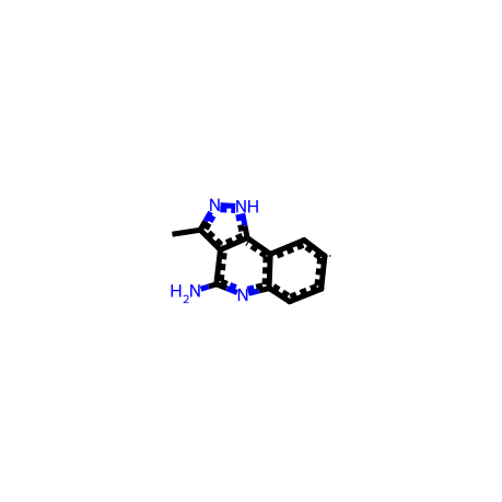 Cc1n[nH]c2c1c(N)nc1cc[c]cc12